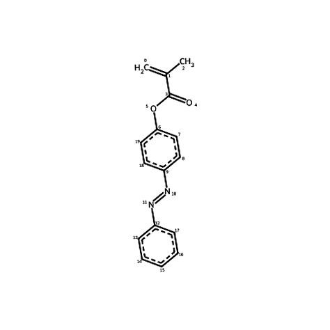 C=C(C)C(=O)Oc1ccc(/N=N/c2ccccc2)cc1